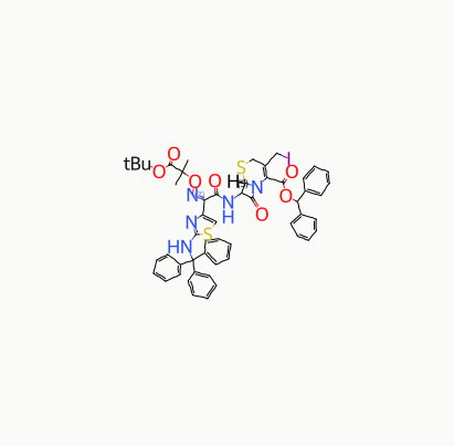 CC(C)(C)OC(=O)C(C)(C)O/N=C(\C(=O)NC1C(=O)N2C(C(=O)OC(c3ccccc3)c3ccccc3)=C(CI)CS[C@@H]12)c1csc(NC(c2ccccc2)(c2ccccc2)c2ccccc2)n1